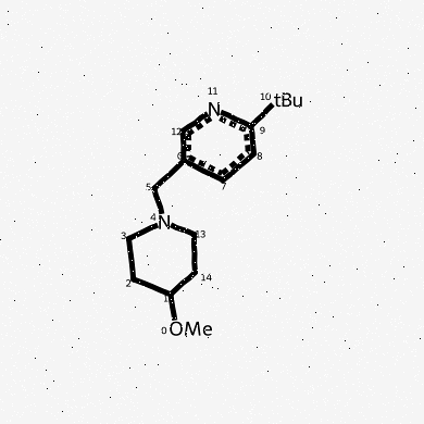 COC1CCN(Cc2ccc(C(C)(C)C)nc2)CC1